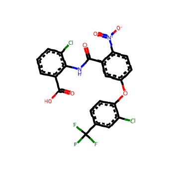 O=C(Nc1c(Cl)cccc1C(=O)O)c1cc(Oc2ccc(C(F)(F)F)cc2Cl)ccc1[N+](=O)[O-]